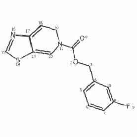 O=C(OCc1cccc(F)c1)N1C=c2scnc2=CC1